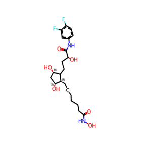 O=C(CCCCCC[C@@H]1C(CCC(O)C(=O)Nc2ccc(F)c(F)c2)[C@H](O)C[C@@H]1O)NO